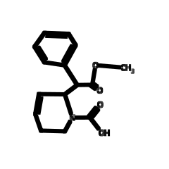 COC(=O)C(c1ccccc1)C1C=CCCN1C(=O)O